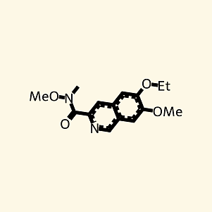 CCOc1cc2cc(C(=O)N(C)OC)ncc2cc1OC